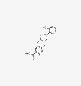 COC(=O)c1cc(CC2CCN(c3ccccc3C#N)CC2)c(C)cc1C